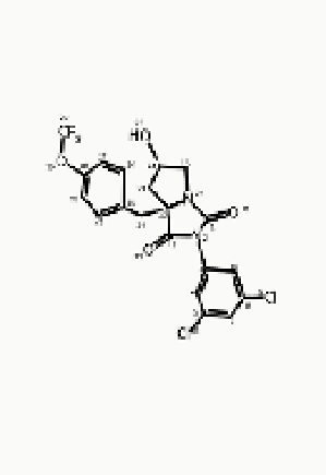 O=C1N(c2cc(Cl)cc(Cl)c2)C(=O)[C@]2(Cc3ccc(OC(F)(F)F)cc3)C[C@@H](O)CN12